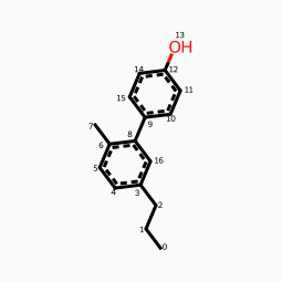 CCCc1ccc(C)c(-c2ccc(O)cc2)c1